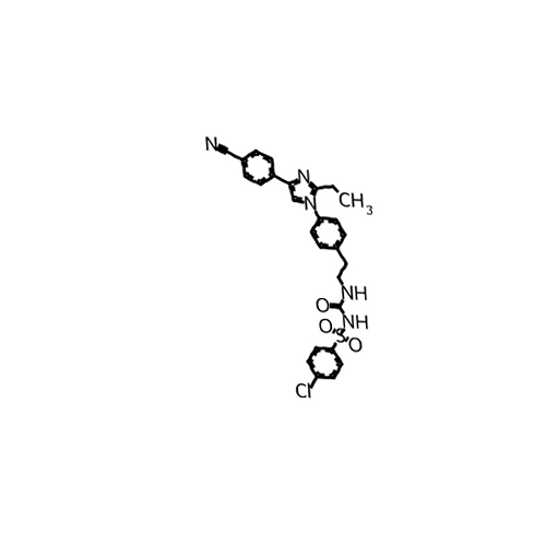 CCc1nc(-c2ccc(C#N)cc2)cn1-c1ccc(CCNC(=O)NS(=O)(=O)c2ccc(Cl)cc2)cc1